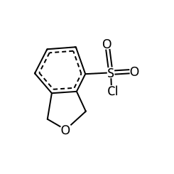 O=S(=O)(Cl)c1cccc2c1COC2